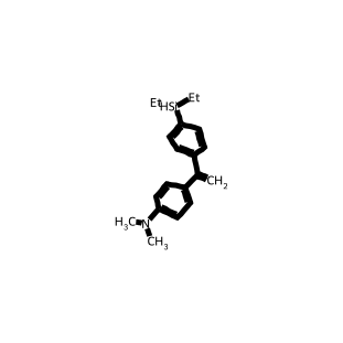 C=C(c1ccc(N(C)C)cc1)c1ccc([SiH](CC)CC)cc1